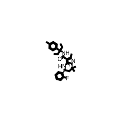 CCC(CC)(NC(=O)c1c(C)nn2c1N[C@H](c1ccccc1F)CC2(C)C)c1ccc(C)cc1